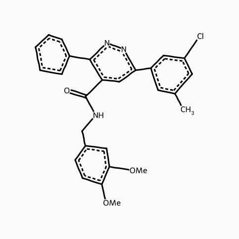 COc1ccc(CNC(=O)c2cc(-c3cc(C)cc(Cl)c3)nnc2-c2ccccc2)cc1OC